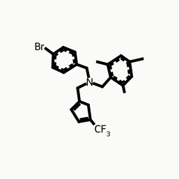 Cc1cc(C)c(CN(CC2=CC=C(C(F)(F)F)C2)Cc2ccc(Br)cc2)c(C)c1